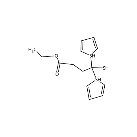 CCOC(=O)CCC(S)([SH]1C=CC=C1)[SH]1C=CC=C1